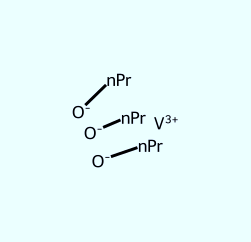 CCC[O-].CCC[O-].CCC[O-].[V+3]